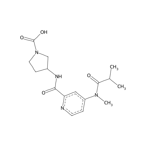 CC(C)C(=O)N(C)c1ccnc(C(=O)NC2CCN(C(=O)O)C2)c1